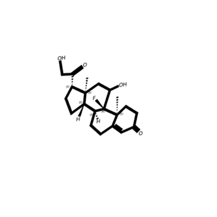 C[C@]12CC(O)[C@@]3(F)[C@@H](CCC4=CC(=O)CC[C@@]43C)[C@@H]1CC[C@@H]2C(=O)CO